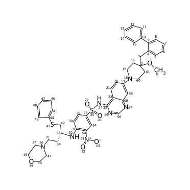 COC1(Cc2ccccc2-c2ccccc2)CCN(c2ccc3c(NS(=O)(=O)c4ccc(N[C@H](CCN5CCOCC5)CSc5ccccc5)c([N+](=O)[O-])c4)ncnc3c2)CC1